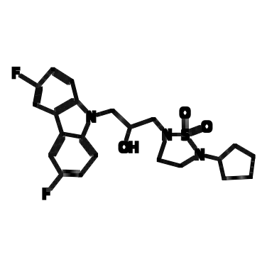 O=S1(=O)N(CC(O)Cn2c3ccc(F)cc3c3cc(F)ccc32)CCN1C1CCCC1